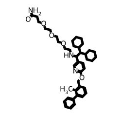 Cc1c(COc2ccc(C(NCCOCCOCCOCCC(N)=O)C(C3CCCCC3)C3CCCCC3)cn2)cccc1-c1ccccc1